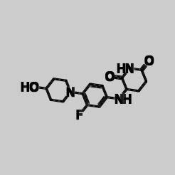 O=C1CCC(Nc2ccc(N3CCC(O)CC3)c(F)c2)C(=O)N1